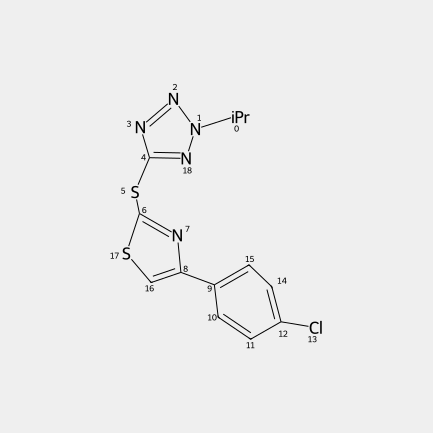 CC(C)n1nnc(Sc2nc(-c3ccc(Cl)cc3)cs2)n1